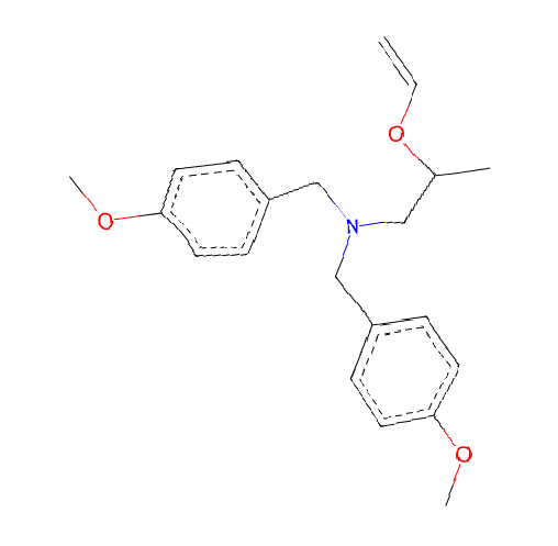 C=COC(C)CN(Cc1ccc(OC)cc1)Cc1ccc(OC)cc1